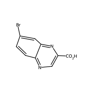 O=C(O)c1cnc2ccc(Br)cc2n1